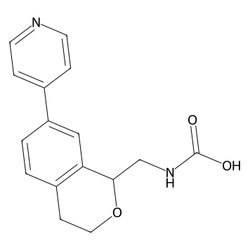 O=C(O)NCC1OCCc2ccc(-c3ccncc3)cc21